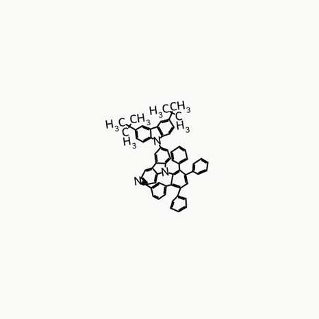 CC(C)(C)c1ccc2c(c1)c1cc(C(C)(C)C)ccc1n2-c1ccc2c(c1)c1ccccc1n2-c1c(-c2ccccc2)c(-c2ccccc2)cc(-c2ccccc2)c1-c1cccc(C#N)c1